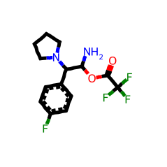 NC(OC(=O)C(F)(F)F)C(c1ccc(F)cc1)N1CCCC1